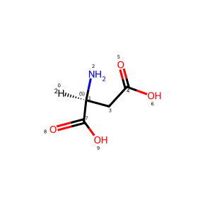 [2H][C@](N)(CC(=O)O)C(=O)O